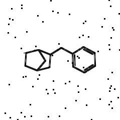 [CH]1CC2CC1C(Cc1ccccc1)C2